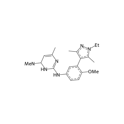 CCn1nc(C)c(-c2cc(NC3=NC(C)=CC(NC)N3)ccc2OC)c1C